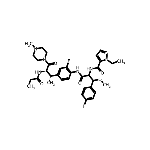 CCC(=O)N[C@@H](C(=O)N1CCN(C)CC1)[C@@H](C)c1ccc(NC(=O)C(NC(=O)c2ccnn2CC)C(OC)c2ccc(F)cc2)c(F)c1